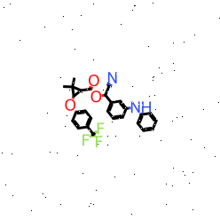 CC1(C)C(Oc2ccc(C(F)(F)F)cc2)C1C(=O)OC(C#N)c1cccc(Nc2ccccc2)c1